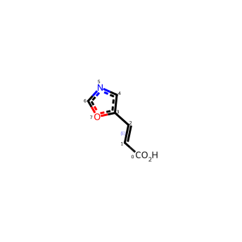 O=C(O)/C=C/c1cnco1